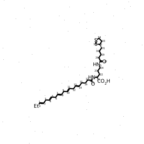 CCC=CCC=CCC=CCC=CCC=CCCCC(=O)N[C@@H](CCCNC(=O)CCCC[C@@H]1CCSS1)C(=O)O